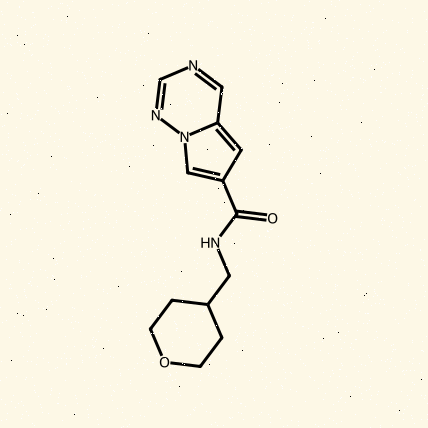 O=C(NCC1CCOCC1)c1cc2cncnn2c1